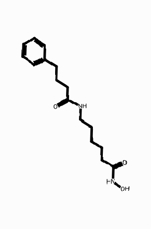 O=C(CCCCCNC(=O)CCCc1ccccc1)NO